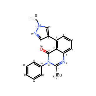 CC[C@@H](C)c1nc2cccc(-c3cnn(C)c3)c2c(=O)n1-c1ccccc1